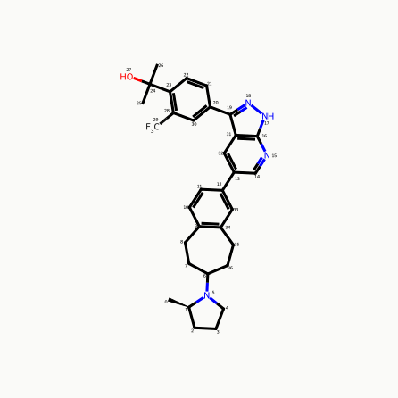 C[C@@H]1CCCN1C1CCc2ccc(-c3cnc4[nH]nc(-c5ccc(C(C)(C)O)c(C(F)(F)F)c5)c4c3)cc2CC1